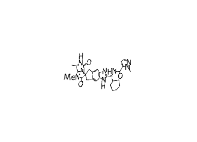 CNC(=O)C1(N2CC(C)NC2=O)Cc2cc3nc([C@@H](NC(=O)c4ccnn4C)C4CCCCC4)[nH]c3cc2C1